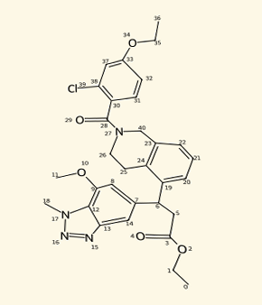 CCOC(=O)CC(c1cc(OC)c2c(c1)nnn2C)c1cccc2c1CCN(C(=O)c1ccc(OCC)cc1Cl)C2